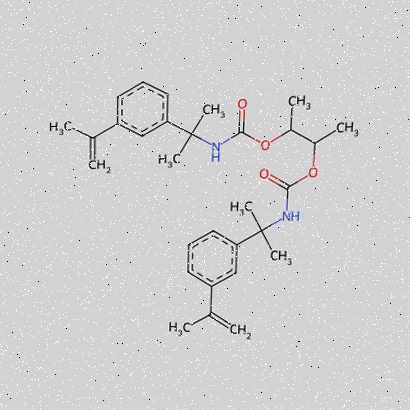 C=C(C)c1cccc(C(C)(C)NC(=O)OC(C)C(C)OC(=O)NC(C)(C)c2cccc(C(=C)C)c2)c1